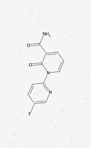 NC(=O)c1cccn(-c2ccc(F)cn2)c1=O